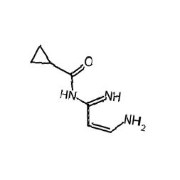 N=C(/C=C\N)NC(=O)C1CC1